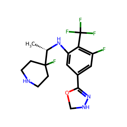 C[C@H](Nc1cc(C2=NNCO2)cc(F)c1C(F)(F)F)C1(F)CCNCC1